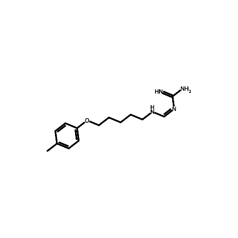 Cc1ccc(OCCCCCN/C=N\C(=N)N)cc1